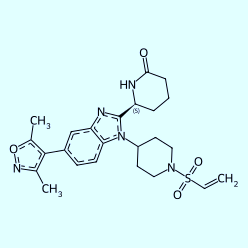 C=CS(=O)(=O)N1CCC(n2c([C@@H]3CCCC(=O)N3)nc3cc(-c4c(C)noc4C)ccc32)CC1